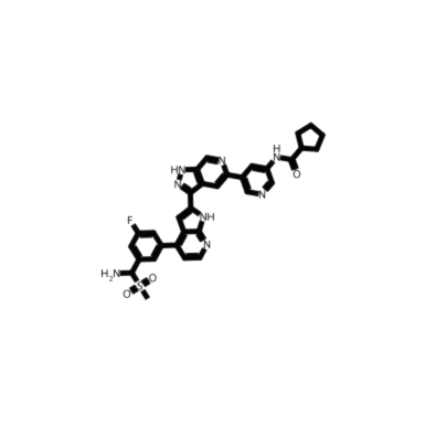 CS(=O)(=O)C(N)c1cc(F)cc(-c2ccnc3[nH]c(-c4n[nH]c5cnc(-c6cncc(NC(=O)C7CCCC7)c6)cc45)cc23)c1